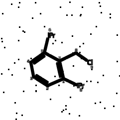 CC(C)c1cccc(C(C)C)c1CCl